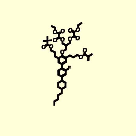 C=C(C)C(=O)OCCCc1cc(-c2ccc(C3CCC(CCCCC)CC3)cc2F)cc(CCCOC(=O)C(C)(C)C)c1OCC(COC(=O)C(=O)OCC)COC(=O)C(=O)OCC